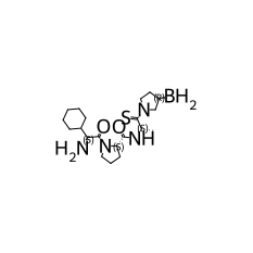 B[C@@H]1CCN(C(=S)[C@H](C)NC(=O)[C@@H]2CCCN2C(=O)[C@@H](N)C2CCCCC2)C1